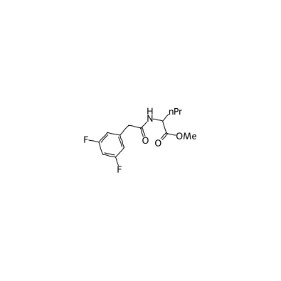 CCCC(NC(=O)Cc1cc(F)cc(F)c1)C(=O)OC